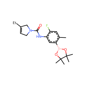 CCC1=CCN(C(=O)Nc2cc(B3OC(C)(C)C(C)(C)O3)c(C)cc2F)C1